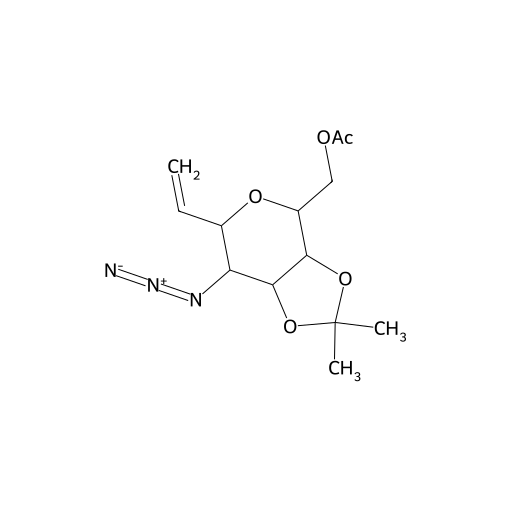 C=CC1OC(COC(C)=O)C2OC(C)(C)OC2C1N=[N+]=[N-]